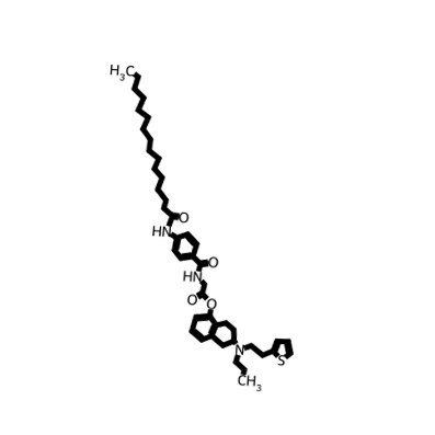 CCCCCCCCCCCCCCCC(=O)Nc1ccc(C(=O)NCC(=O)Oc2cccc3c2CCC(N(CCC)CCc2cccs2)C3)cc1